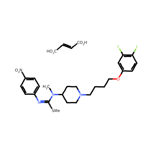 CSC(=Nc1ccc([N+](=O)[O-])cc1)N(C)C1CCN(CCCCOc2ccc(F)c(F)c2)CC1.O=C(O)C=CC(=O)O